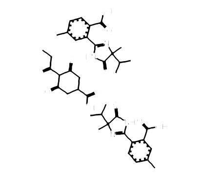 CCC(=O)C1C(=O)CC(C(=O)O)CC1=O.Cc1ccc(C(=O)O)c(C2=NC(C)(C(C)C)C(=O)N2)c1.Cc1ccc(C2=NC(C)(C(C)C)C(=O)N2)c(C(=O)O)c1